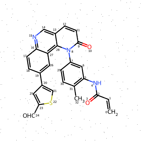 C=CC(=O)Nc1cc(-n2c(=O)ccc3cnc4ccc(-c5csc(C=O)c5)cc4c32)ccc1C